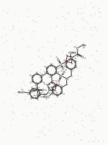 COc1ccc(CN(Cc2ccc(OC)cc2)S(=O)(=O)c2c(S(=O)(=O)C3CN(C(=O)OC(C)(C)C)C3)ccc(-c3cccc(S(N)(=O)=O)c3)c2-c2nnn(Cc3ccc(OC)cc3)n2)cc1